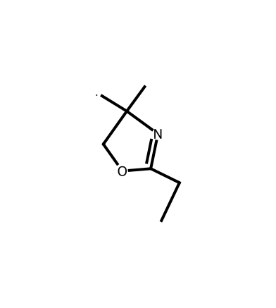 [CH2]C1(C)COC(CC)=N1